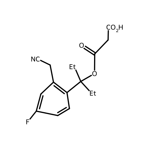 CCC(CC)(OC(=O)CC(=O)O)c1ccc(F)cc1CC#N